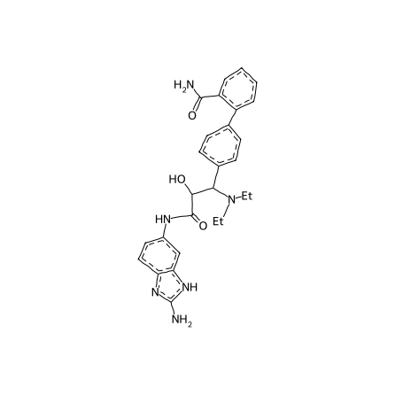 CCN(CC)C(c1ccc(-c2ccccc2C(N)=O)cc1)C(O)C(=O)Nc1ccc2nc(N)[nH]c2c1